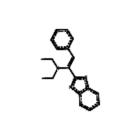 CCN(CC)C(=Cc1ccccc1)c1nc2ccccc2s1